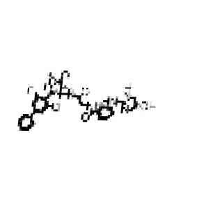 COC(=O)[C@H](CNC(=O)CNC(=O)c1cccc(NC2=NC[C@@H](O)CN2)c1)NC(=O)c1c(Cl)cc(-c2ccccc2)cc1Cl